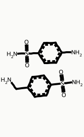 NCc1ccc(S(N)(=O)=O)cc1.Nc1ccc(S(N)(=O)=O)cc1